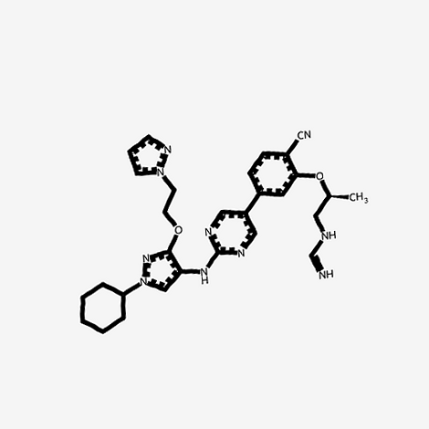 C[C@@H](CNC=N)Oc1cc(-c2cnc(Nc3cn(C4CCCCC4)nc3OCCn3cccn3)nc2)ccc1C#N